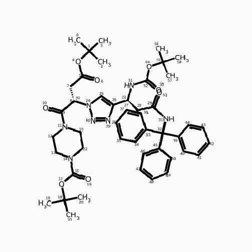 CC(C)(C)OC(=O)C[C@@H](C(=O)N1CCN(C(=O)OC(C)(C)C)CC1)n1cc([C@H](CC(=O)NC(c2ccccc2)(c2ccccc2)c2ccccc2)NC(=O)OC(C)(C)C)nn1